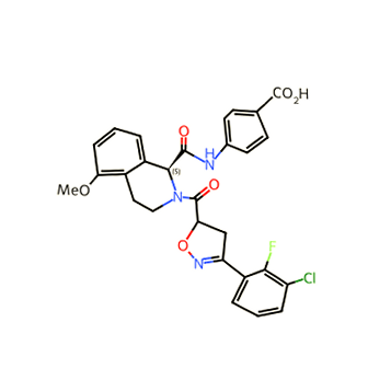 COc1cccc2c1CCN(C(=O)C1CC(c3cccc(Cl)c3F)=NO1)[C@@H]2C(=O)Nc1ccc(C(=O)O)cc1